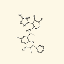 Cc1cc([C@@H](C)Nc2ccc(F)c(F)c2-c2noc(=O)[nH]2)c2oc(-c3cccnc3)c(C)c(=O)c2c1